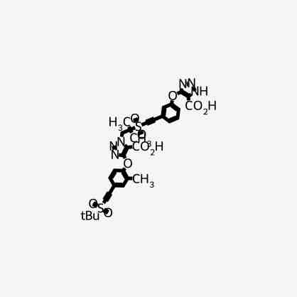 Cc1cc(C#CS(=O)(=O)C(C)(C)C)ccc1Oc1nnn(CC(C)(C)S(=O)(=O)C#Cc2cccc(Oc3nn[nH]c3C(=O)O)c2)c1C(=O)O